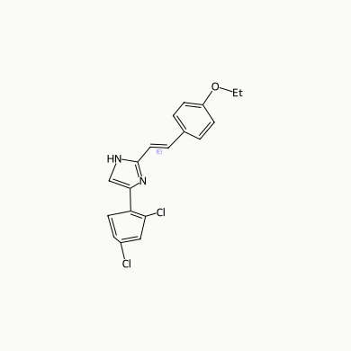 CCOc1ccc(/C=C/c2nc(-c3ccc(Cl)cc3Cl)c[nH]2)cc1